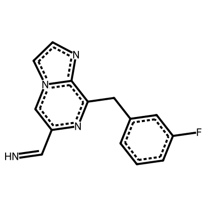 N=Cc1cn2ccnc2c(Cc2cccc(F)c2)n1